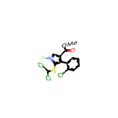 COC(=O)c1cn(F)c(SC(Cl)Cl)c1-c1ccccc1Cl